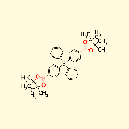 CC1(C)OB(c2ccc([Si](c3ccccc3)(c3ccccc3)c3ccc(B4OC(C)(C)C(C)(C)O4)cc3)cc2)OC1(C)C